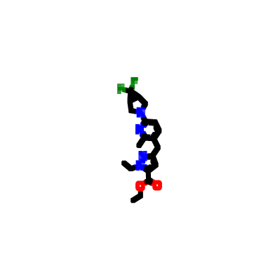 CCOC(=O)c1cc(Cc2ccc(N3CC4C(C3)C4(F)F)nc2C)nn1CC